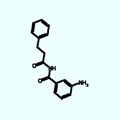 Nc1c[c]cc(C(=O)NC(=O)CCc2ccccc2)c1